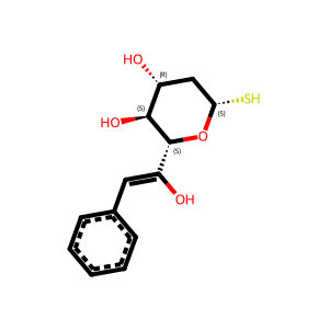 OC(=Cc1ccccc1)[C@H]1O[C@@H](S)C[C@@H](O)[C@@H]1O